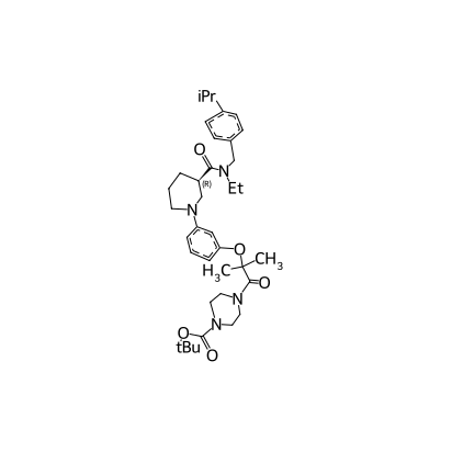 CCN(Cc1ccc(C(C)C)cc1)C(=O)[C@@H]1CCCN(c2cccc(OC(C)(C)C(=O)N3CCN(C(=O)OC(C)(C)C)CC3)c2)C1